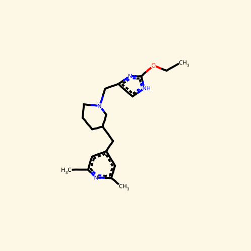 CCOc1nc(CN2CCCC(Cc3cc(C)nc(C)c3)C2)c[nH]1